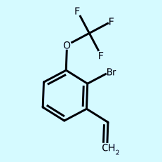 C=Cc1cccc(OC(F)(F)F)c1Br